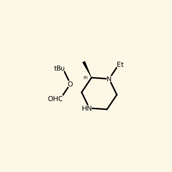 CC(C)(C)OC=O.CCN1CCNC[C@H]1C